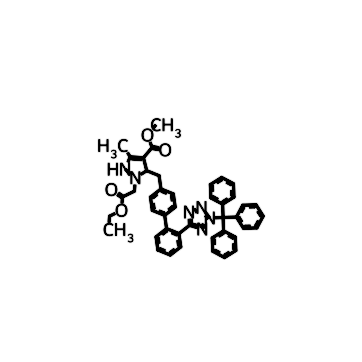 CCOC(=O)CN1NC(C)=C(C(=O)OC)C1Cc1ccc(-c2ccccc2-c2nnn(C(c3ccccc3)(c3ccccc3)c3ccccc3)n2)cc1